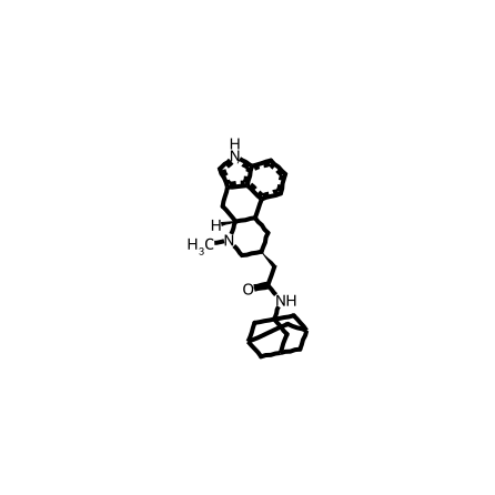 CN1C[C@H](CC(=O)NC23CC4CC(CC(C4)C2)C3)CC2c3cccc4[nH]cc(c34)C[C@H]21